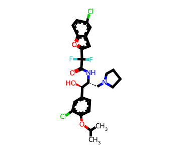 CC(C)Oc1ccc([C@@H](O)[C@@H](CN2CCCC2)NC(=O)C(F)(F)c2cc3cc(Cl)ccc3o2)cc1Cl